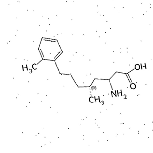 Cc1ccccc1CCC[C@@H](C)CC(N)CC(=O)O